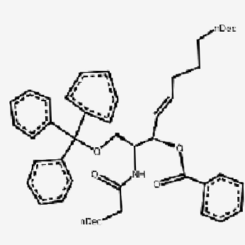 CCCCCCCCCCCCC/C=C/[C@@H](OC(=O)c1ccccc1)[C@H](COC(c1ccccc1)(c1ccccc1)c1ccccc1)NC(=O)CCCCCCCCCCC